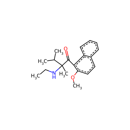 CCNC(C)(C(=O)c1c(OC)ccc2ccccc12)C(C)C